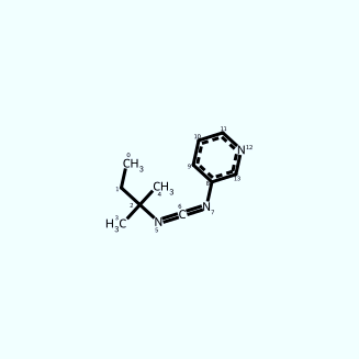 CCC(C)(C)N=C=Nc1cccnc1